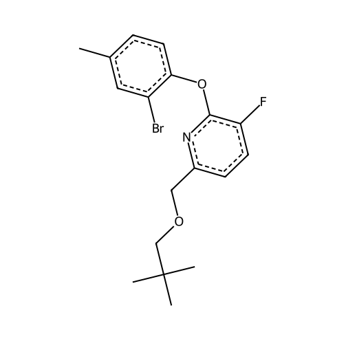 Cc1ccc(Oc2nc(COCC(C)(C)C)ccc2F)c(Br)c1